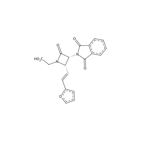 O=C(O)CN1C(=O)[C@H](N2C(=O)c3ccccc3C2=O)[C@@H]1C=Cc1ccco1